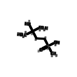 CP(=O)(O)CCC(O)(C(=O)O)S(=O)(=O)O